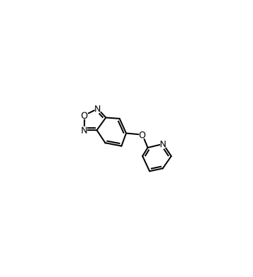 c1ccc(Oc2ccc3nonc3c2)nc1